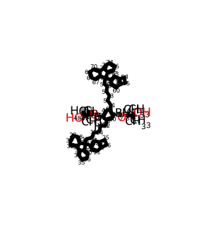 CC(C)(O)C(C)(C)OBc1cc(CCCCCCC2(c3ccc4c(c3)CC4)c3ccccc3-c3ccccc32)c(BOC(C)(C)C(C)(C)O)cc1CCCCCCC1(c2ccc3c(c2)CC3)c2ccccc2-c2ccccc21